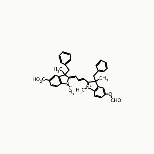 CN1/C(=C\C=C\C2=[N+](C)c3ccc(OC=O)cc3C2(C)Cc2ccccc2)C(C)(Cc2ccccc2)c2cc(C(=O)O)ccc21